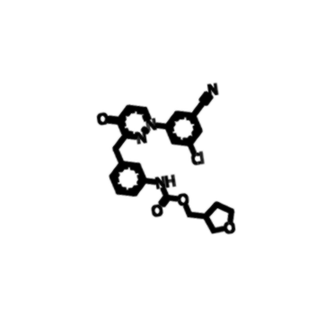 N#Cc1cc(Cl)cc(-n2ccc(=O)c(Cc3cccc(NC(=O)OCC4CCOC4)c3)n2)c1